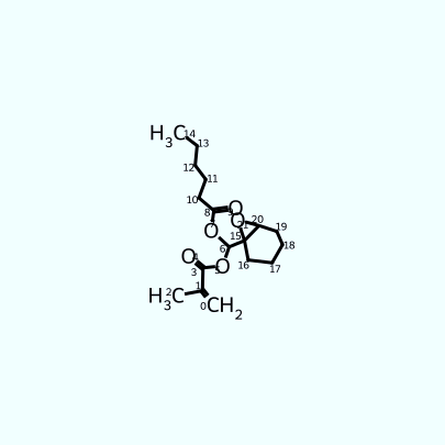 C=C(C)C(=O)OC(OC(=O)CCCCC)C12CCCCC1O2